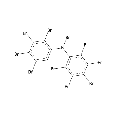 Brc1cc(N(Br)c2c(Br)c(Br)c(Br)c(Br)c2Br)c(Br)c(Br)c1Br